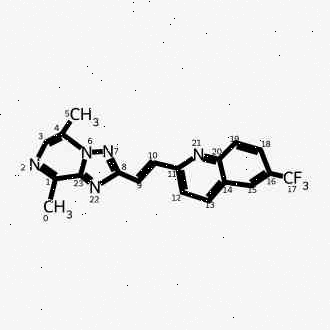 Cc1ncc(C)n2nc(/C=C/c3ccc4cc(C(F)(F)F)ccc4n3)nc12